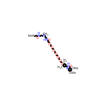 CNCCC(=O)NCCCN(C)CCCNC(=O)CCOCCOCCOCCOCCOCCOCCOc1c(C)cc(-c2nc3cc(OC)cc(OC)c3c(=O)[nH]2)cc1C